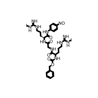 N=C(NI)NCCCC(NC(=O)OCc1ccccc1)C(=O)NCC(=O)N[C@@H](CCCNC(=N)NI)C(=O)Nc1ccc(N=O)cc1